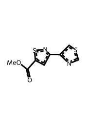 COC(=O)c1cc(-c2cscn2)ns1